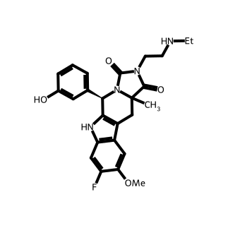 CCNCCN1C(=O)N2[C@H](c3cccc(O)c3)c3[nH]c4cc(F)c(OC)cc4c3CC2(C)C1=O